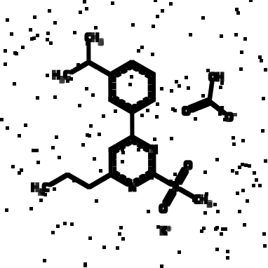 CCCc1cc(-c2cccc(C(C)C)c2)nc(S(C)(=O)=O)n1.O=C([O-])O.[K+]